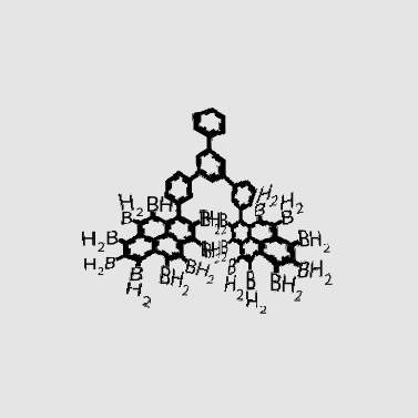 Bc1c(B)c2c(B)c(B)c3c(B)c(B)c(-c4cccc(-c5cc(-c6ccccc6)cc(-c6cccc(-c7c(B)c(B)c8c(B)c(B)c9c(B)c(B)c(B)c%10c(B)c(B)c7c8c9%10)c6)c5)c4)c4c(B)c(B)c(c1B)c2c34